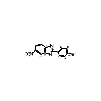 O=[N+]([O-])c1ccc2[nH]c(-c3ccc(Br)cc3)nc2c1